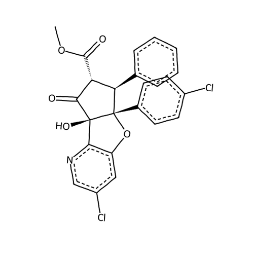 COC(=O)[C@H]1C(=O)[C@@]2(O)c3ncc(Cl)cc3O[C@@]2(c2ccc(Cl)cc2)[C@@H]1c1ccccc1